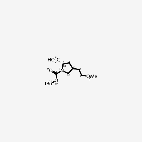 COCCC1C[C@@H](C(=O)O)N(C(=O)OC(C)(C)C)C1